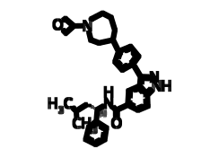 CC(C)C[C@H](NC(=O)c1ccc2[nH]nc(-c3ccc(C4CCCCN(C5COC5)CC4)cc3)c2c1)c1ccccc1